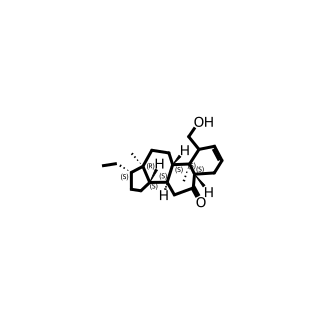 CC[C@H]1CC[C@H]2[C@@H]3CC(=O)[C@H]4CC=CC(CO)[C@]4(C)[C@H]3CC[C@]12C